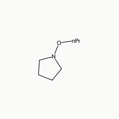 CCCON1CCCC1